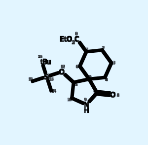 CCOC(=O)C1CCCC2(C1)C(=O)NCC2O[Si](C)(C)C(C)(C)C